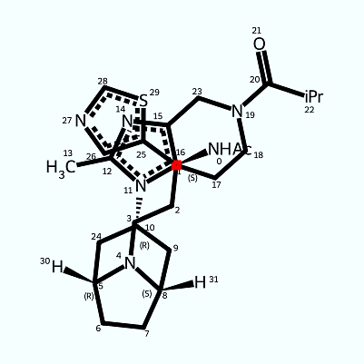 CC(=O)N[C@@H](CCN1[C@@H]2CC[C@H]1C[C@@H](n1c(C)nc3c1CCN(C(=O)C(C)C)C3)C2)c1cncs1